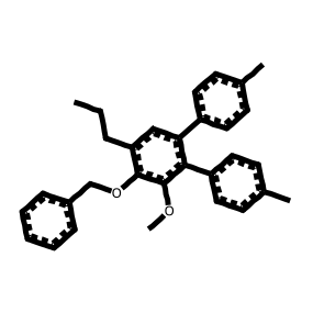 CCCc1[c]c(-c2ccc(C)cc2)c(-c2ccc(C)cc2)c(OC)c1OCc1ccccc1